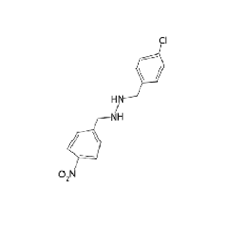 O=[N+]([O-])c1ccc(CNNCc2ccc(Cl)cc2)cc1